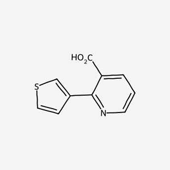 O=C(O)c1cccnc1-c1ccsc1